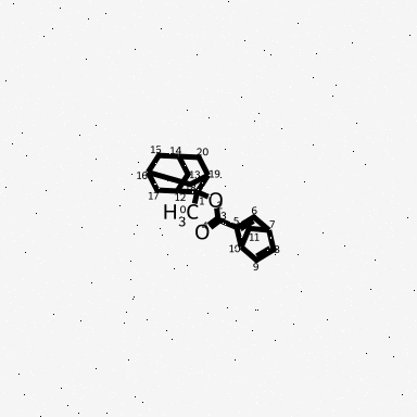 CC1(OC(=O)C2=CC3C=CC2C3)C2CC3CC(C2)CC1C3